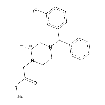 C[C@@H]1CN(C(c2ccccc2)c2cccc(C(F)(F)F)c2)CCN1CC(=O)OC(C)(C)C